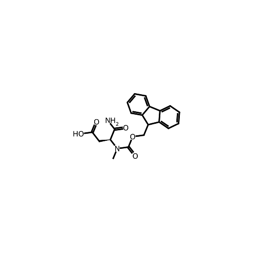 CN(C(=O)OCC1c2ccccc2-c2ccccc21)[C@@H](CC(=O)O)C(N)=O